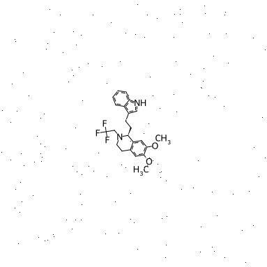 COc1cc2c(cc1OC)[C@H](CCc1c[nH]c3ccccc13)N(CC(F)(F)F)CC2